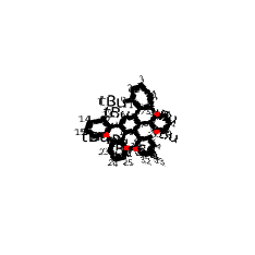 CC(C)(C)c1cccc(C(C)(C)C)c1-c1cc(-c2c(C(C)(C)C)cccc2C(C)(C)C)c(-c2c(C(C)(C)C)cccc2C(C)(C)C)c(-c2c(C(C)(C)C)cccc2C(C)(C)C)c1-c1ccccc1